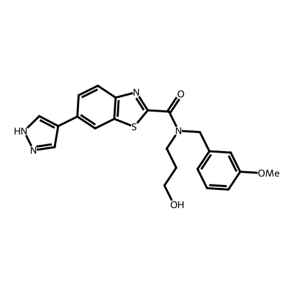 COc1cccc(CN(CCCO)C(=O)c2nc3ccc(-c4cn[nH]c4)cc3s2)c1